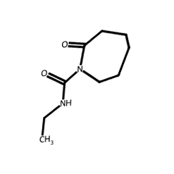 CCNC(=O)N1CCCCCC1=O